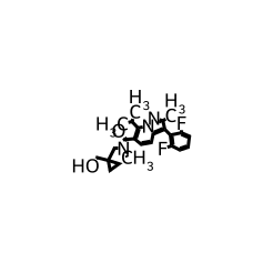 Cc1nn2c(C(C)C)c(C(=O)N(C)CC3(CO)CC3)ccc2c1-c1c(F)cccc1F